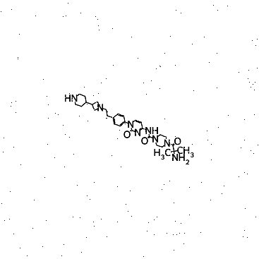 CC(C)(N)C(=O)N1CCN(C(=O)Nc2ccn(-c3ccc(CCN4CC(C5CCNCC5)C4)cc3)c(=O)n2)CC1